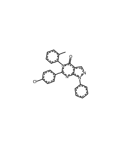 Cc1ccccc1-n1c(-c2ccc(Cl)cc2)nc2c(cnn2-c2ccccc2)c1=O